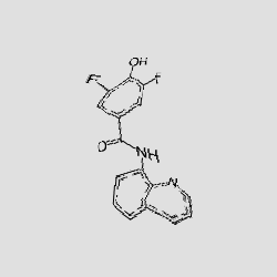 O=C(Nc1cccc2cccnc12)c1cc(F)c(O)c(F)c1